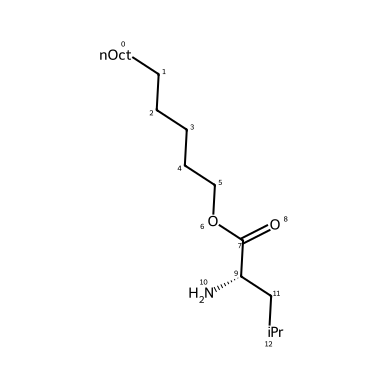 CCCCCCCCCCCCCOC(=O)[C@@H](N)CC(C)C